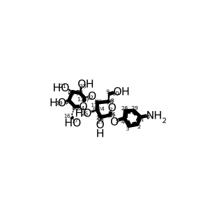 Nc1ccc(O[C@H]2O[C@H](CO)[C@@H](O[C@@H]3O[C@H](CO)[C@H](O)[C@H](O)[C@H]3O)[C@H](O)[C@H]2O)cc1